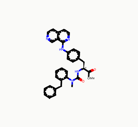 COC(=O)[C@H](Cc1ccc(Nc2nccc3ccncc23)cc1)NC(=O)N(C)c1ccccc1Cc1ccccc1